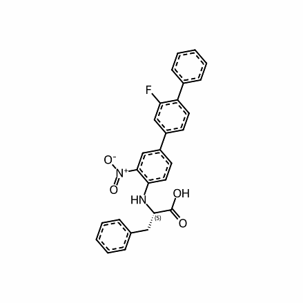 O=C(O)[C@H](Cc1ccccc1)Nc1ccc(-c2ccc(-c3ccccc3)c(F)c2)cc1[N+](=O)[O-]